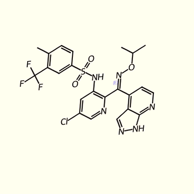 Cc1ccc(S(=O)(=O)Nc2cc(Cl)cnc2/C(=N/OC(C)C)c2ccnc3[nH]ncc23)cc1C(F)(F)F